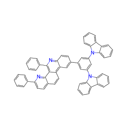 c1ccc(-c2ccc3ccc4c5cc(-c6cc(-n7c8ccccc8c8ccccc87)cc(-n7c8ccccc8c8ccccc87)c6)ccc5nc(-c5ccccc5)c4c3n2)cc1